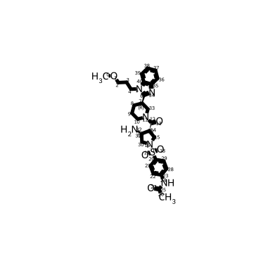 COCCCn1c([C@@H]2CCCN(C(=O)[C@@H]3CN(S(=O)(=O)c4ccc(NC(C)=O)cc4)C[C@H]3N)C2)nc2ccccc21